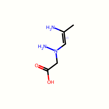 C/C(N)=C/N(N)CC(=O)O